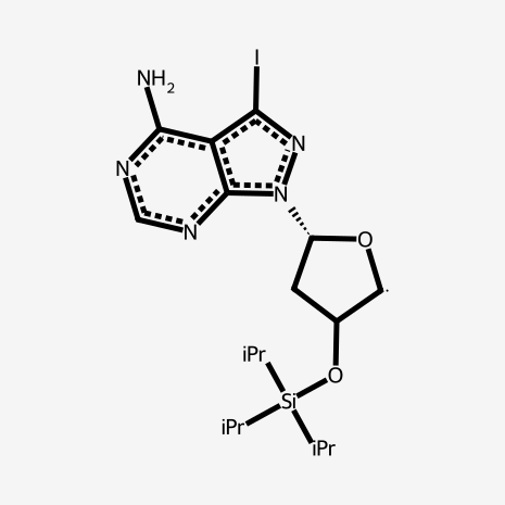 CC(C)[Si](OC1[CH]O[C@@H](n2nc(I)c3c(N)ncnc32)C1)(C(C)C)C(C)C